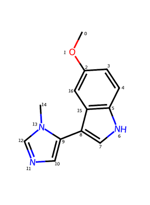 COc1ccc2[nH]cc(-c3cncn3C)c2c1